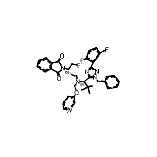 CC(C)(C)[C@H](c1nc(-c2cc(F)ccc2F)nn1Cc1ccccc1)N(CC[C@@H](CF)N1C(=O)c2ccccc2C1=O)COc1cccnc1